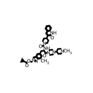 Cc1cc(CC(NC(=O)N2CCC(c3cc4ccccc4[nH]c3=O)CC2)C(=O)N2CCN(C3CCN(C)CC3)CC2)cc2cn(COC(=O)C3CC3)nc12